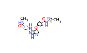 CCNC(=O)N1CCC(Nc2n[nH]c3nccc(Oc4ccc(C(=O)Nc5ncc(C)s5)cc4)c23)C1